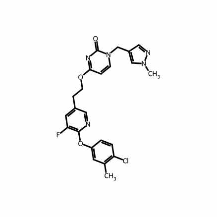 Cc1cc(Oc2ncc(CCOc3ccn(Cc4cnn(C)c4)c(=O)n3)cc2F)ccc1Cl